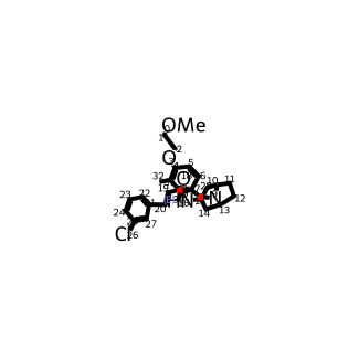 COCCOc1ccc(CN2C3CCC2CC(NC(=O)/C=C/c2cccc(Cl)c2)C3)c(C)c1C